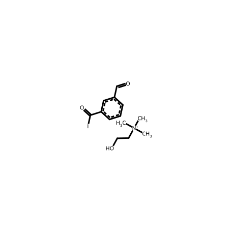 C[N+](C)(C)CCO.O=Cc1cccc(C(=O)I)c1